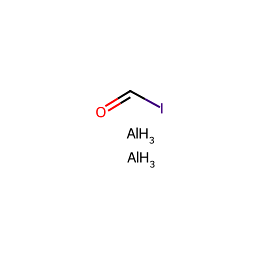 O=CI.[AlH3].[AlH3]